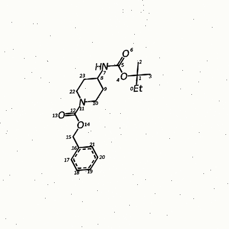 CCC(C)(C)OC(=O)NC1CCN(C(=O)OCc2ccccc2)CC1